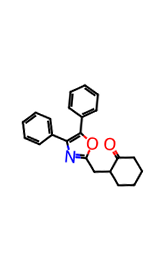 O=C1CCCCC1Cc1nc(-c2ccccc2)c(-c2ccccc2)o1